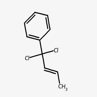 CC=CC(Cl)(Cl)c1ccccc1